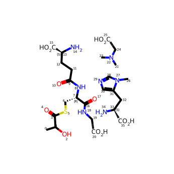 CC(O)C(=O)SC[C@H](NC(=O)CC[C@H](N)C(=O)O)C(=O)NCC(=O)O.CN(C)CC(=O)O.Cn1cncc1C[C@H](N)C(=O)O